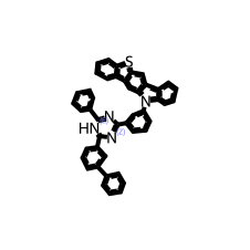 N=C(/N=C(\N=C\c1ccccc1)c1cccc(-n2c3ccccc3c3cc4sc5ccccc5c4cc32)c1)c1cccc(-c2ccccc2)c1